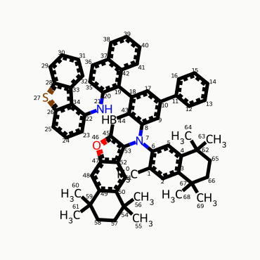 Cc1cc2c(cc1N1c3cc(-c4ccccc4)cc(-c4c(Nc5cccc6sc7ccccc7c56)ccc5ccccc45)c3Bc3oc4cc5c(cc4c31)C(C)(C)CCC5(C)C)C(C)(C)CCC2(C)C